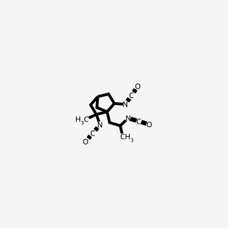 CC(CC12CC(CC1N=C=O)CC2(C)N=C=O)N=C=O